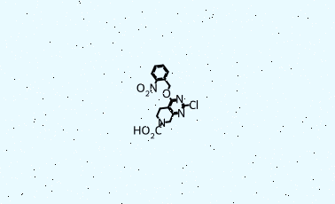 O=C(O)N1CCc2c(nc(Cl)nc2OCc2ccccc2[N+](=O)[O-])C1